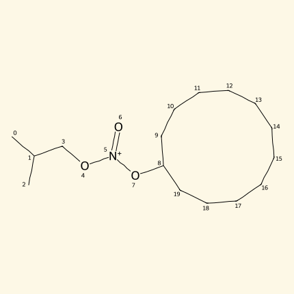 CC(C)CO[N+](=O)OC1CCCCCCCCCCC1